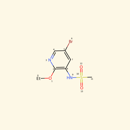 CCOc1ncc(Br)cc1NS(C)(=O)=O